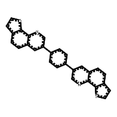 c1cc2ccc3cc(-c4ccc(-c5cnc6c(ccc7ccsc76)c5)cc4)cnc3c2s1